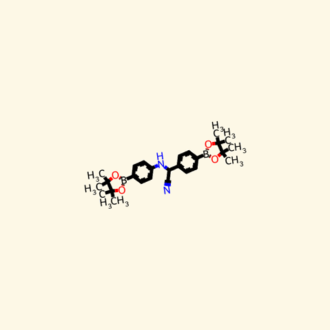 CC1(C)OB(c2ccc(NC(C#N)c3ccc(B4OC(C)(C)C(C)(C)O4)cc3)cc2)OC1(C)C